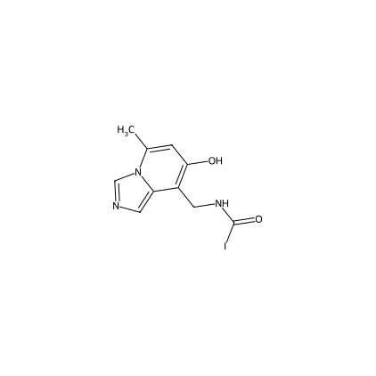 Cc1cc(O)c(CNC(=O)I)c2cncn12